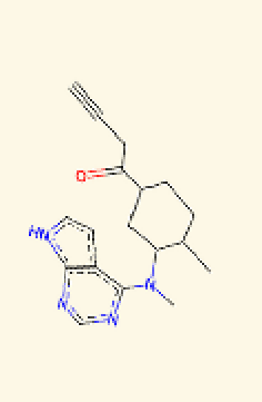 C#CCC(=O)C1CCC(C)C(N(C)c2ncnc3[nH]ccc23)C1